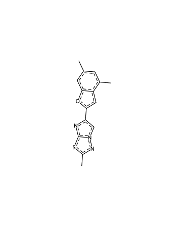 Cc1cc(C)c2cc(-c3cn4nc(C)sc4n3)oc2c1